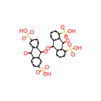 O=C1c2ccc(S(=O)(=O)O)cc2C(=O)c2ccc(S(=O)(=O)O)cc21.O=C1c2cccc(S(=O)(=O)O)c2C(=O)c2c1cccc2S(=O)(=O)O